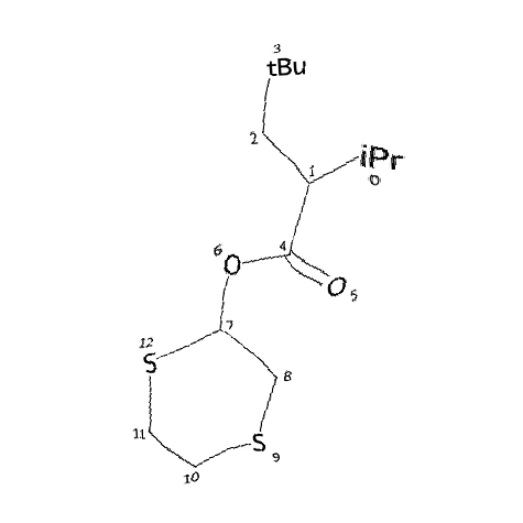 CC(C)C(CC(C)(C)C)C(=O)OC1CSCCS1